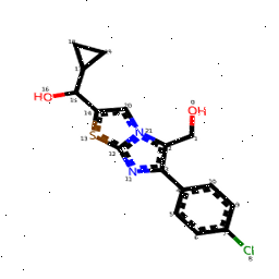 OCc1c(-c2ccc(Cl)cc2)nc2sc(C(O)C3CC3)cn12